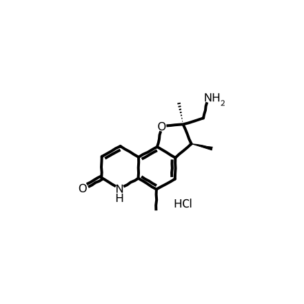 Cc1cc2c(c3ccc(=O)[nH]c13)O[C@@](C)(CN)[C@H]2C.Cl